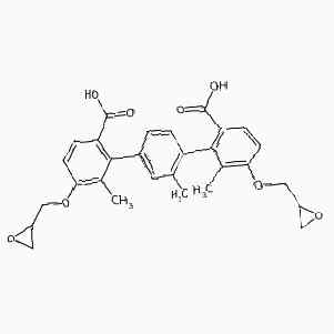 Cc1cc(-c2c(C(=O)O)ccc(OCC3CO3)c2C)ccc1-c1c(C(=O)O)ccc(OCC2CO2)c1C